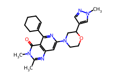 Cc1nc2cc(N3CCOC(c4cnn(C)c4)C3)nc(C3=CCCCC3)c2c(=O)n1C